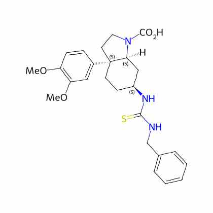 COc1ccc([C@@]23CC[C@H](NC(=S)NCc4ccccc4)C[C@@H]2N(C(=O)O)CC3)cc1OC